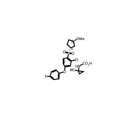 CO[C@@H]1CC[C@@H](S(=O)(=O)c2ccc(Oc3ccc(F)cc3)cc2Cl)C1.N#CC1(NC(=O)O)CC1